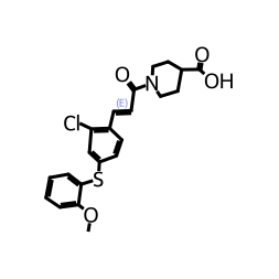 COc1ccccc1Sc1ccc(/C=C/C(=O)N2CCC(C(=O)O)CC2)c(Cl)c1